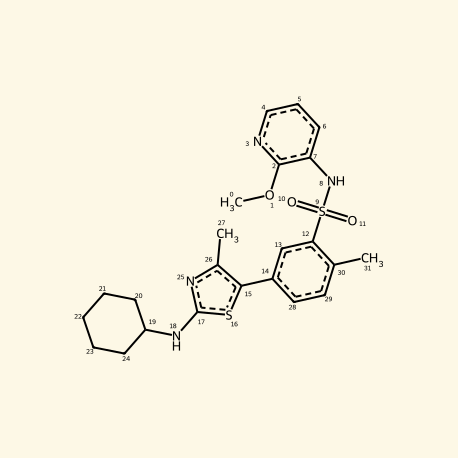 COc1ncccc1NS(=O)(=O)c1cc(-c2sc(NC3CCCCC3)nc2C)ccc1C